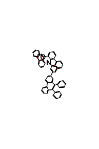 c1ccc(-c2cccc(-c3ccccc3)c2N(c2cccc(-c3ccc4c(c3)c(-c3ccccc3)c(-c3ccccc3)c3ccccc34)c2)c2cccc3c2oc2ccccc23)cc1